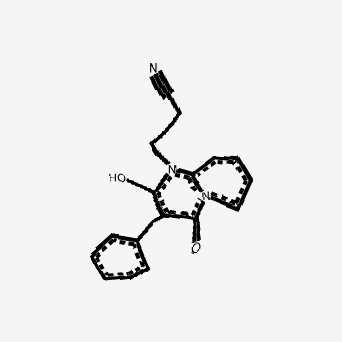 N#CCCn1c(O)c(-c2ccccc2)c(=O)[n+]2ccccc12